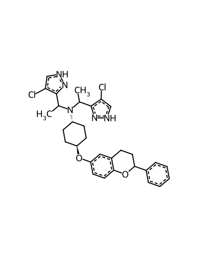 CC(c1n[nH]cc1Cl)N(C(C)c1n[nH]cc1Cl)[C@H]1CC[C@H](Oc2ccc3c(c2)CCC(c2ccccc2)O3)CC1